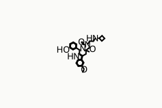 COc1ccc2[nH]c3c(c2c1)CC1(C)C(=O)N(CCNC2CCC2)C(=O)N1C3c1cccc(O)c1